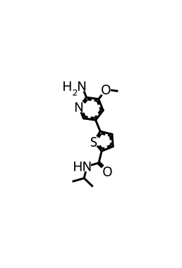 COc1cc(-c2ccc(C(=O)NC(C)C)s2)cnc1N